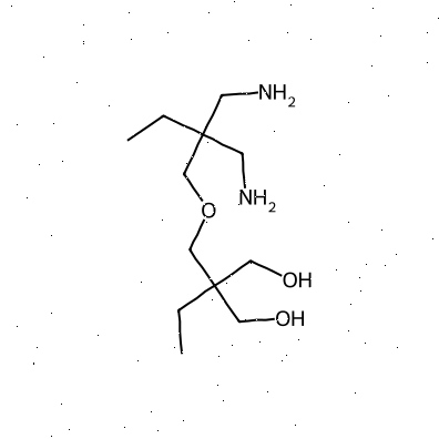 CCC(CN)(CN)COCC(CC)(CO)CO